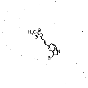 CS(=O)(=O)OC/C=C/c1ccn2ncc(Br)c2n1